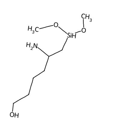 CO[SiH](CC(N)CCCCO)OC